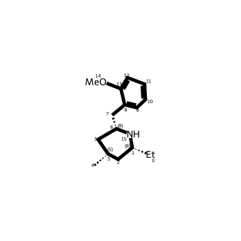 CC[C@@H]1C[C@H](C)C[C@H](Cc2ccccc2OC)N1